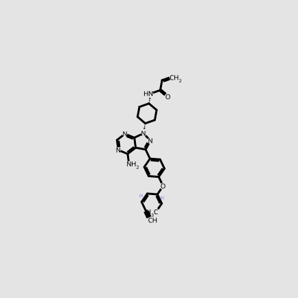 C#C/C=C\C(=C/C)Oc1ccc(-c2nn([C@H]3CC[C@@H](NC(=O)C=C)CC3)c3ncnc(N)c23)cc1